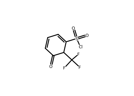 O=C1C=CC=C(S(=O)(=O)Cl)C1C(F)(F)F